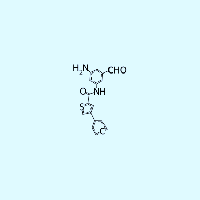 Nc1cc(C=O)cc(NC(=O)c2cc(-c3ccccc3)cs2)c1